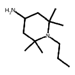 CCCN1C(C)(C)CC(N)CC1(C)C